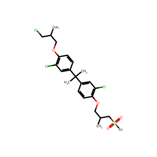 CCS(=O)(=O)CC(C)COc1ccc(C(C)(C)c2ccc(OCC(CCl)OC(C)=O)c(Cl)c2)cc1Cl